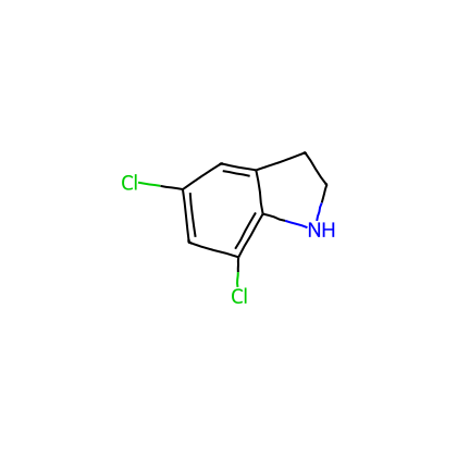 Clc1cc(Cl)c2c(c1)CCN2